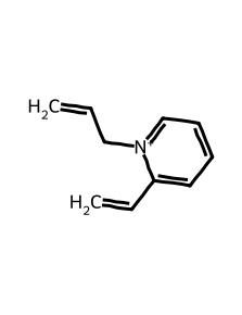 C=CC[n+]1ccccc1C=C